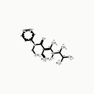 C=C/C(C(=O)N(CC)c1ccnnc1)=C(/C)N(C)C(C)C(C)C